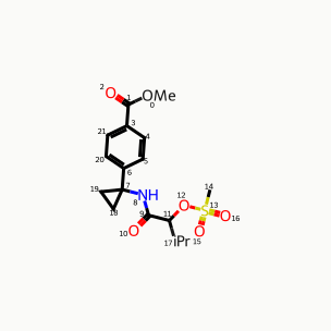 COC(=O)c1ccc(C2(NC(=O)C(OS(C)(=O)=O)C(C)C)CC2)cc1